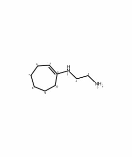 NCCNC1=CCCCCC1